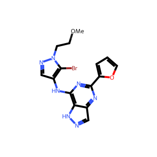 COCCn1ncc(Nc2nc(-c3ccco3)nc3cn[nH]c23)c1Br